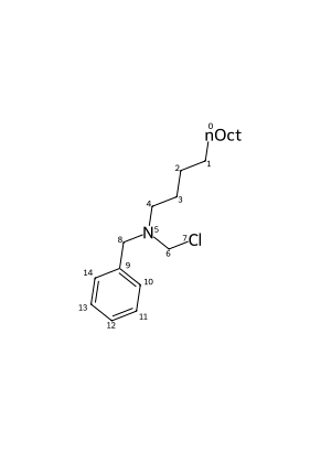 CCCCCCCCCCCCN(CCl)Cc1ccccc1